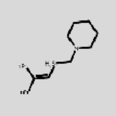 CCCC(=C[SiH2]CN1CCCCC1)CCC